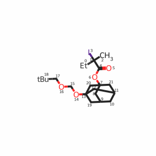 CCC(C)(I)C(=O)OC12CC3CC(CC(OCOCC(C)(C)C)(C3)C1)C2